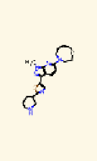 Cn1nc(-c2cnc(C3CCCNC3)s2)c2ccc(N3CCCCCCC3)nc21